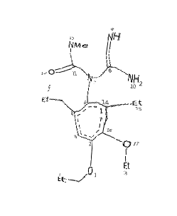 CCOc1cc(CC)c(N(C(=N)N)C(=O)NC)c(CC)c1OCC